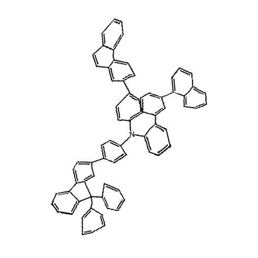 c1ccc(C2(c3ccccc3)c3ccccc3-c3ccc(-c4ccc(N(c5ccc(-c6ccc7c(ccc8ccccc87)c6)cc5)c5ccccc5-c5cccc(-c6cccc7ccccc67)c5)cc4)cc32)cc1